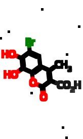 Cc1c(C(=O)O)c(=O)oc2c(O)c(O)c(Br)cc12